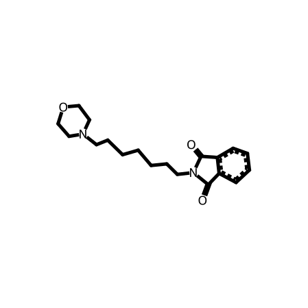 O=C1c2ccccc2C(=O)N1CCCCCCCN1CCOCC1